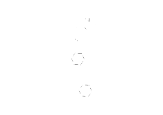 NC(=O)C1CCCC1NCc1ccc(OCc2ccccc2F)c(Cl)c1